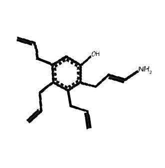 C=CCc1cc(O)c(CC=CN)c(CC=C)c1CC=C